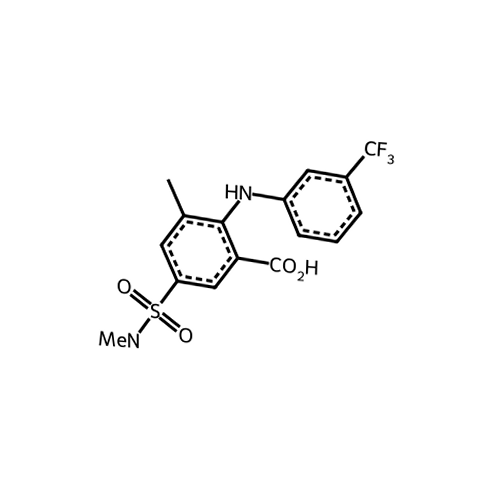 CNS(=O)(=O)c1cc(C)c(Nc2cccc(C(F)(F)F)c2)c(C(=O)O)c1